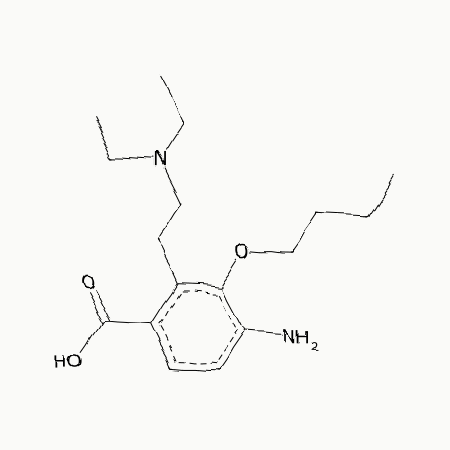 CCCCOc1c(N)ccc(C(=O)O)c1CCN(CC)CC